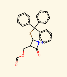 O=COCC1C(=O)NC1SC(c1ccccc1)(c1ccccc1)c1ccccc1